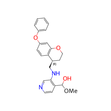 COC(O)c1ccncc1NC[C@@H]1CCOc2cc(Oc3ccccc3)ccc21